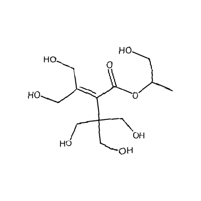 CC(CO)OC(=O)C(=C(CO)CO)C(CO)(CO)CO